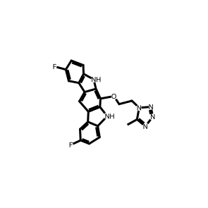 Cc1nnnn1CCOc1c2[nH]c3ccc(F)cc3c2cc2c1[nH]c1ccc(F)cc12